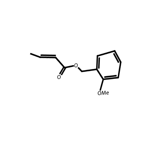 C/C=C/C(=O)OCc1ccccc1OC